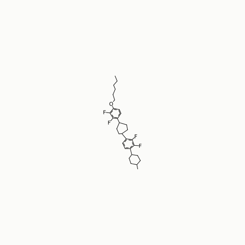 CCCCCCOc1ccc(C2CCC(c3ccc(C4CCC(C)CC4)c(F)c3F)CC2)c(F)c1F